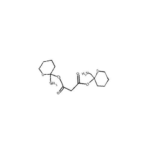 O=C(CC(=O)OC1([SiH3])CCCCO1)OC1([SiH3])CCCCO1